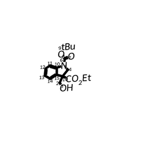 CCOC(=O)C1(CO)CN(C(=O)OC(C)(C)C)c2ccccc21